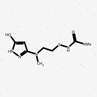 CNC(=O)NSCCN(C)c1cc(O)[nH]n1